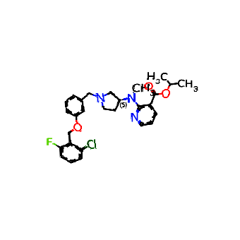 CC(C)OC(=O)c1cccnc1N(C)[C@H]1CCN(Cc2cccc(OCc3c(F)cccc3Cl)c2)C1